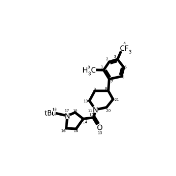 Cc1cc(C(F)(F)F)ccc1C1CCN(C(=O)C2CCN(C(C)(C)C)C2)CC1